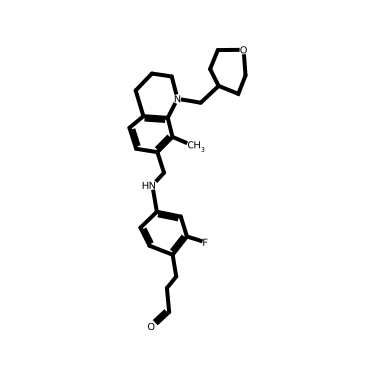 Cc1c(CNc2ccc(CCC=O)c(F)c2)ccc2c1N(CC1CCOCC1)CCC2